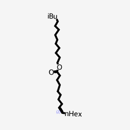 CCCCCC/C=C\CCCCCCCC(=O)OCCCCCCCCCCC(C)CC